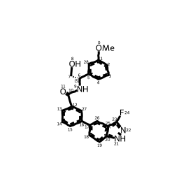 COc1cccc([C@@H](CO)NC(=O)c2cccc(-c3ccc4[nH]nc(F)c4c3)c2)c1